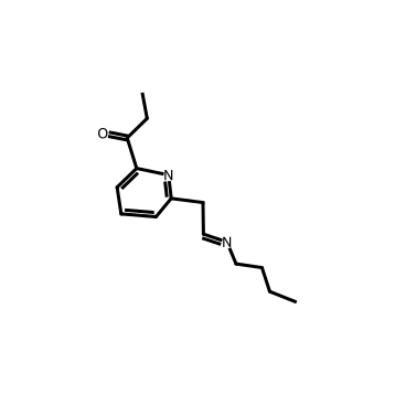 CCCCN=CCc1cccc(C(=O)CC)n1